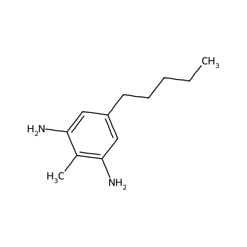 CCCCCc1cc(N)c(C)c(N)c1